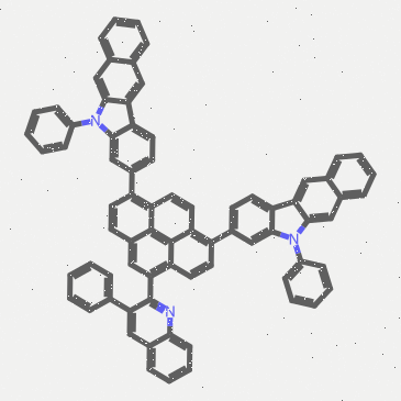 c1ccc(-c2cc3ccccc3nc2-c2cc3ccc(-c4ccc5c6cc7ccccc7cc6n(-c6ccccc6)c5c4)c4ccc5c(-c6ccc7c8cc9ccccc9cc8n(-c8ccccc8)c7c6)ccc2c5c34)cc1